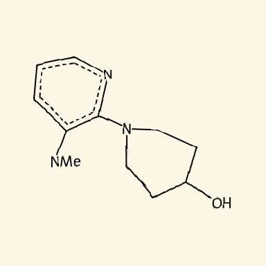 CNc1cccnc1N1CCC(O)CC1